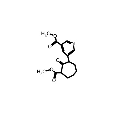 COC(=O)c1cncc(C2CCCCC(C(=O)OC)C2=O)c1